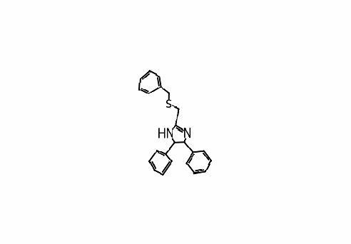 c1ccc(CSCC2=NC(c3ccccc3)C(c3ccccc3)N2)cc1